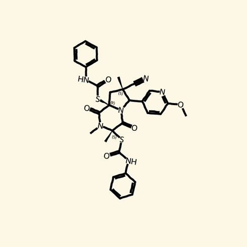 COc1ccc(C2N3C(=O)[C@](C)(SC(=O)Nc4ccccc4)N(C)C(=O)[C@]3(SC(=O)Nc3ccccc3)C[C@]2(C)C#N)cn1